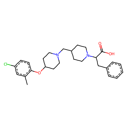 Cc1cc(Cl)ccc1OC1CCN(CC2CCN(C(Cc3ccccc3)C(=O)O)CC2)CC1